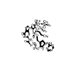 CC(C)C(=O)Nc1nc2c(ncn2[C@@H]2O[C@H](CO)[C@@H](O[Si](O[Si](O)(C(C)C)C(C)C)(C(C)C)C(C)C)[C@H]2O[P@@](=O)(OCCC#N)OC[C@H]2C[C@@H](Nc3ncncn3)[C@H](F)[C@@H]2O[PH](=O)O)c(=O)[nH]1